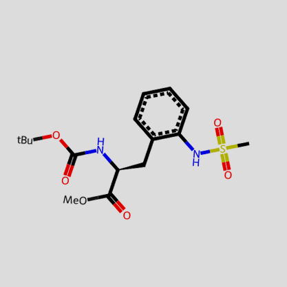 COC(=O)[C@H](Cc1ccccc1NS(C)(=O)=O)NC(=O)OC(C)(C)C